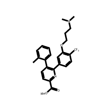 COC(=O)c1ccc(-c2ccccc2C)c(-c2ccc(C(F)(F)F)c(OCCCN(C)C)c2)n1